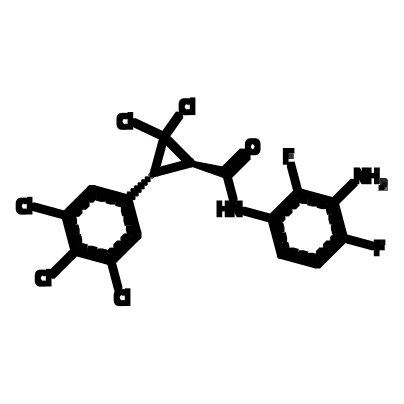 Nc1c(F)ccc(NC(=O)[C@H]2[C@H](c3cc(Cl)c(Cl)c(Cl)c3)C2(Cl)Cl)c1F